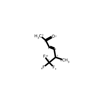 CC(=O)C=CC(C)C(F)(F)F